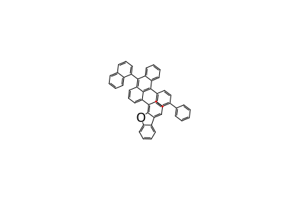 c1ccc(-c2ccc(-c3c4ccccc4c(-c4cccc5ccccc45)c4cccc(-c5cccc6c5oc5ccccc56)c34)cc2)cc1